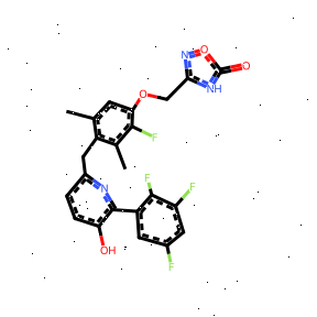 Cc1cc(OCc2noc(=O)[nH]2)c(F)c(C)c1Cc1ccc(O)c(-c2cc(F)cc(F)c2F)n1